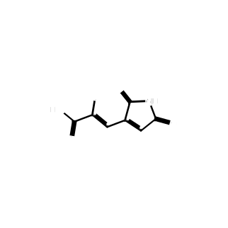 CC(=CC1=CC(=O)NC1=O)C(=O)O